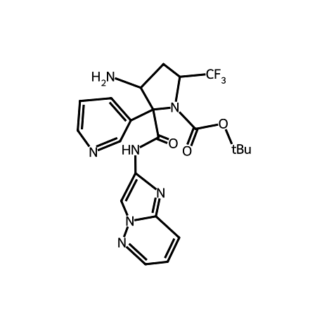 CC(C)(C)OC(=O)N1C(C(F)(F)F)CC(N)C1(C(=O)Nc1cn2ncccc2n1)c1cccnc1